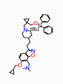 CN(C)Cc1c(OCC2CC2)ccc2c(CCC3CCN(CC4(CO[Si](c5ccccc5)(c5ccccc5)C(C)(C)C)CC4)CC3)noc12